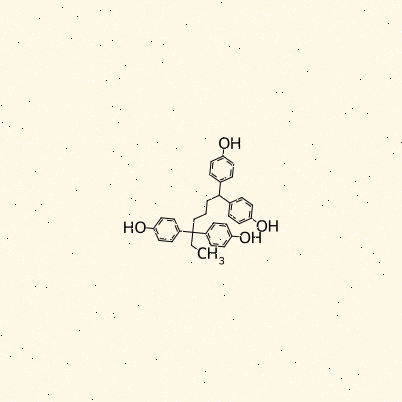 CCC(CCCC(c1ccc(O)cc1)c1ccc(O)cc1)(c1ccc(O)cc1)c1ccc(O)cc1